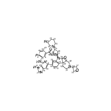 CNC(=O)c1cc(Nc2nc(-c3ccc4c(c3)N(C3CC(N5CCC[C@H](F)C5)C3)C(=O)C43CCN(C4COC4)CC3)cc3ncn(C(C)C)c23)c(F)cc1C